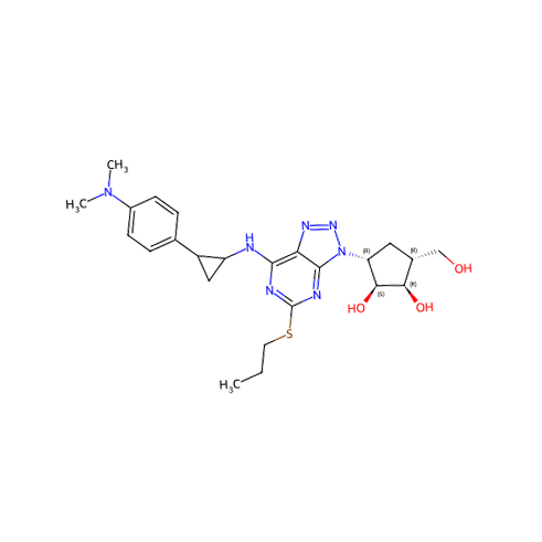 CCCSc1nc(NC2CC2c2ccc(N(C)C)cc2)c2nnn([C@@H]3C[C@H](CO)[C@@H](O)[C@H]3O)c2n1